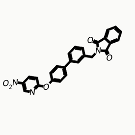 O=C1c2ccccc2C(=O)N1Cc1cccc(-c2ccc(Oc3ccc([N+](=O)[O-])cn3)cc2)c1